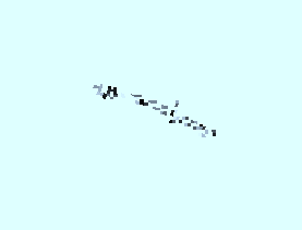 N.S=[Si]=S